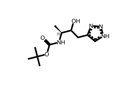 C[C@H](NC(=O)OC(C)(C)C)C(O)Cc1c[nH]nn1